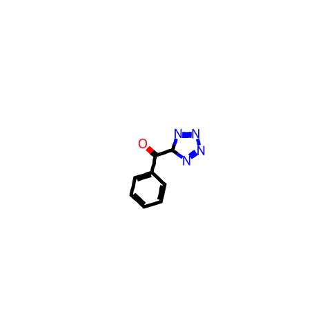 O=C(c1ccccc1)C1N=NN=N1